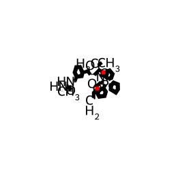 C=CCOC(=O)C(N1C(=O)[C@H](C(C)C)[C@H]1CC(=O)c1cccc(CNC(=O)NC)c1)=P(c1ccccc1)(c1ccccc1)c1ccccc1